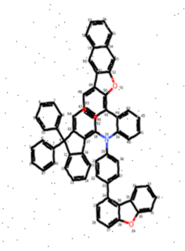 c1ccc(C2(c3ccccc3)c3ccccc3-c3c(N(c4ccc(-c5cccc6oc7ccccc7c56)cc4)c4ccccc4-c4cccc5c4oc4cc6ccccc6cc45)cccc32)cc1